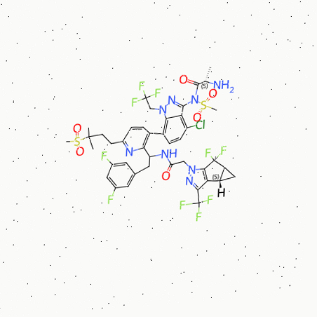 C[C@H](N)C(=O)N(c1nn(CC(F)(F)F)c2c(-c3ccc(CCC(C)(C)S(C)(=O)=O)nc3C(Cc3cc(F)cc(F)c3)NC(=O)Cn3nc(C(F)(F)F)c4c3C(F)(F)C3C[C@H]43)ccc(Cl)c12)S(C)(=O)=O